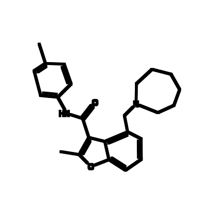 Cc1ccc(NC(=O)c2c(C)oc3cccc(CN4CCCCCC4)c23)cc1